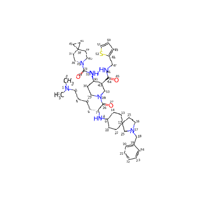 CN(C)CCCC[C@@H](NC1CCC2(CC1)CCN(Cc1ccccc1)C2)C(=O)N1CC[C@@H](NC(=O)N2CCC3(CC2)CC3)[C@@H](C(=O)NCc2cccs2)C1